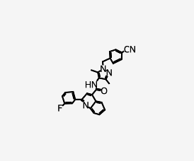 Cc1nn(Cc2ccc(C#N)cc2)c(C)c1NC(=O)c1cc(-c2cccc(F)c2)nc2ccccc12